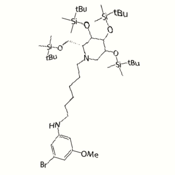 COc1cc(Br)cc(NCCCCCCN2CC(O[Si](C)(C)C(C)(C)C)C(O[Si](C)(C)C(C)(C)C)C(O[Si](C)(C)C(C)(C)C)[C@H]2CO[Si](C)(C)C(C)(C)C)c1